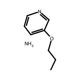 CCCOc1cccnc1.N